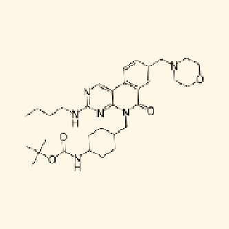 CCCCNc1ncc2c3ccc(CN4CCOCC4)cc3c(=O)n(CC3CCC(NC(=O)OC(C)(C)C)CC3)c2n1